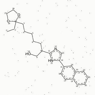 CCC1(CCCCCC(CO)c2ncc(-c3ccc4ccccc4c3)[nH]2)OCCO1